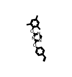 C=Cc1ccc(Oc2ncnc(Oc3c(C)cc(C)cc3C)n2)cc1